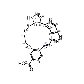 O=C(O)c1ccc2c(c1)OCCOCc1[nH]ncc1-c1cc3c(n[nH]c3cn1)/C=C/2